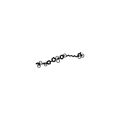 C=CC(=O)OCCOc1ccc(-c2ccc(OC(=O)c3ccc(OCCCCCCCC4CC(=C)C(=O)O4)cc3)cc2)cc1